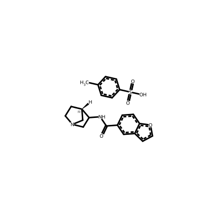 Cc1ccc(S(=O)(=O)O)cc1.O=C(NC1CN2CC[C@H]1C2)c1ccc2occc2c1